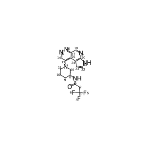 O=C(CC(F)(F)F)NC1CCCN(c2cnnc3cnc4[nH]ccc4c23)C1